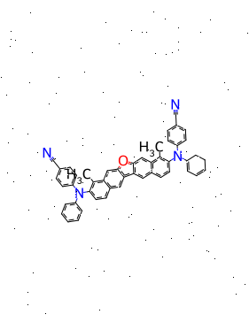 Cc1c(N(C2=CC=CCC2)c2ccc(C#N)cc2)ccc2cc3c(cc12)oc1cc2c(C)c(N(c4ccccc4)c4ccc(C#N)cc4)ccc2cc13